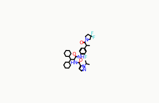 CC(C(=O)N1CCC(F)(F)C1)c1ccc(NC(=O)C(NC(=O)c2ccnn2C(C)C)C(C2CCCCC2)C2CCCCC2)c(F)c1